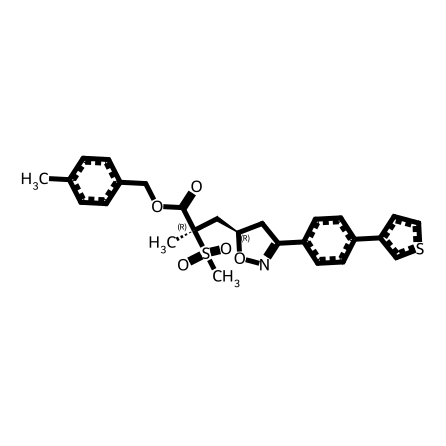 Cc1ccc(COC(=O)[C@@](C)(C[C@H]2CC(c3ccc(-c4ccsc4)cc3)=NO2)S(C)(=O)=O)cc1